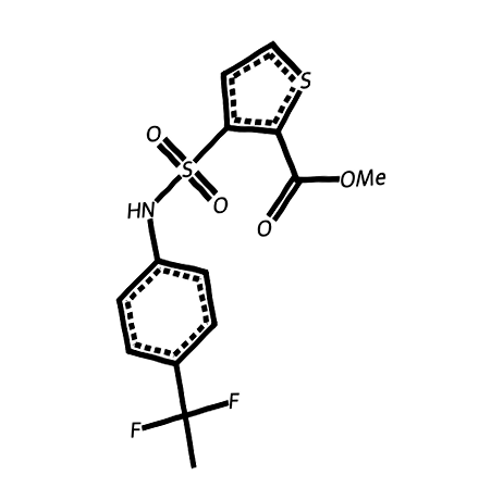 COC(=O)c1sccc1S(=O)(=O)Nc1ccc(C(C)(F)F)cc1